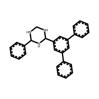 c1ccc(-c2cc(-c3ccccc3)cc(C3NCNC(c4ccccc4)N3)c2)cc1